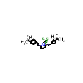 CC(C)c1ccc(/C=C/c2cccc(/C=C/c3ccc(C(C)C)cc3)[n+]2CC(F)(F)F)cc1